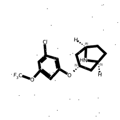 FC(F)(F)Oc1cc(Cl)cc(O[C@@H]2C[C@H]3CC[C@@H](C2)N3)c1